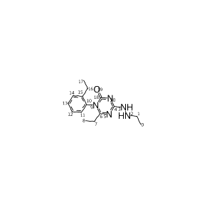 CCNNc1nc(CC)n(-c2ccccc2CC)c(=O)n1